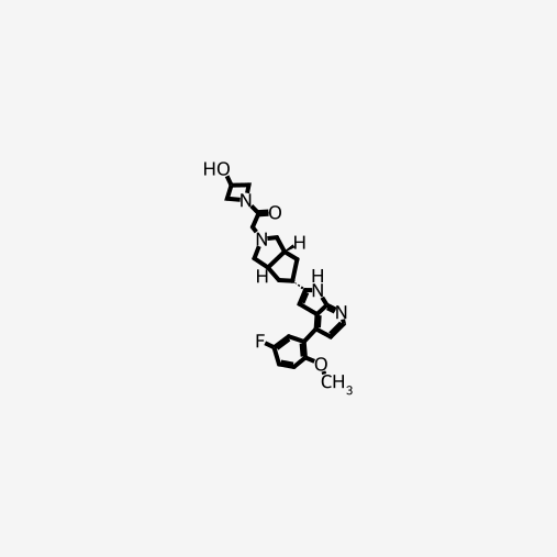 COc1ccc(F)cc1-c1ccnc2[nH]c([C@@H]3C[C@@H]4CN(CC(=O)N5CC(O)C5)C[C@@H]4C3)cc12